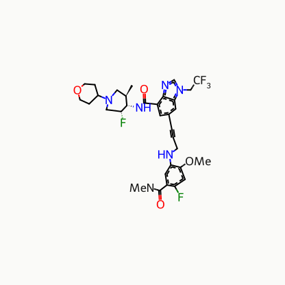 CNC(=O)c1cc(NCC#Cc2cc(C(=O)N[C@H]3[C@H](C)CN(C4CCOCC4)C[C@H]3F)c3ncn(CC(F)(F)F)c3c2)c(OC)cc1F